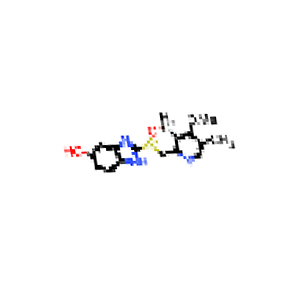 COc1c(C)cnc(C[S+]([O-])c2nc3cc(O)ccc3[nH]2)c1C